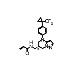 C=CC(=O)NC[C@H]1CN(c2ccc(C3(C(F)(F)F)CC3)cc2)c2ccnn2C1